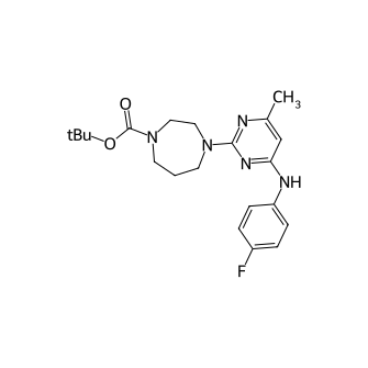 Cc1cc(Nc2ccc(F)cc2)nc(N2CCCN(C(=O)OC(C)(C)C)CC2)n1